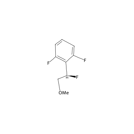 COC[C@H](F)c1c(F)cccc1F